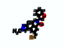 Cn1cc(-c2cc(CBr)cc3c2CCN(C2COc4ccccc42)C3=O)c(C(F)(F)F)n1